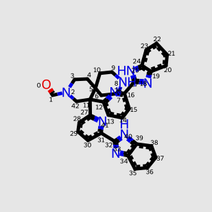 O=CN1CCC2(CCNCC2)C(c2cccc(-c3nc4ccccc4[nH]3)n2)(c2cccc(-c3nc4ccccc4[nH]3)n2)C1